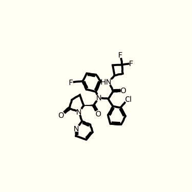 O=C(NC1CC(F)(F)C1)C(c1ccccc1Cl)N(C(=O)[C@@H]1CCC(=O)N1c1ccccn1)c1cccc(F)c1